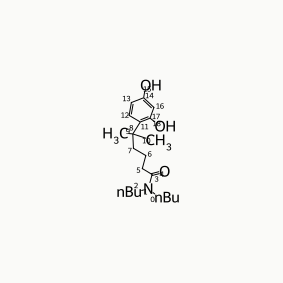 CCCCN(CCCC)C(=O)CCCC(C)(C)c1ccc(O)cc1O